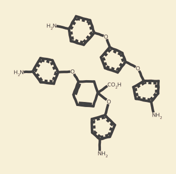 Nc1ccc(OC2=CC=CC(Oc3ccc(N)cc3)(C(=O)O)C2)cc1.Nc1ccc(Oc2cccc(Oc3ccc(N)cc3)c2)cc1